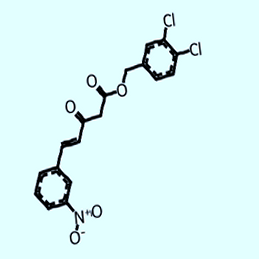 O=C(C=Cc1cccc([N+](=O)[O-])c1)CC(=O)OCc1ccc(Cl)c(Cl)c1